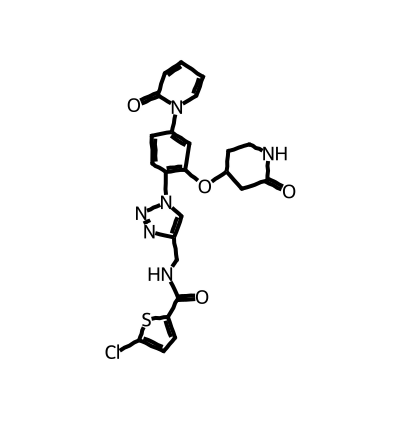 O=C1CC(Oc2cc(-n3ccccc3=O)ccc2-n2cc(CNC(=O)c3ccc(Cl)s3)nn2)CCN1